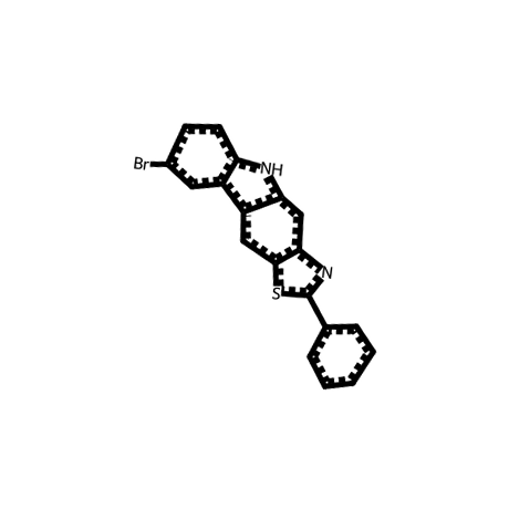 Brc1ccc2[nH]c3cc4nc(-c5ccccc5)sc4cc3c2c1